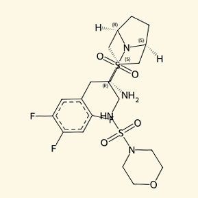 N[C@H](Cc1cc(F)c(F)cc1F)[C@@H]1C[C@H]2CC[C@@H](C1)N2S(=O)(=O)CCNS(=O)(=O)N1CCOCC1